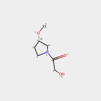 CCO[C@H]1CCN(C(=O)CO)C1